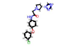 O=C(CN1CC[C@H](n2cncn2)C1)Nc1ccc(Oc2cccc(Cl)c2)cc1